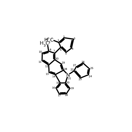 Cc1ccccc1-c1c(C)ccc2cc3c4ccccc4n(-c4ccccc4)c3cc12